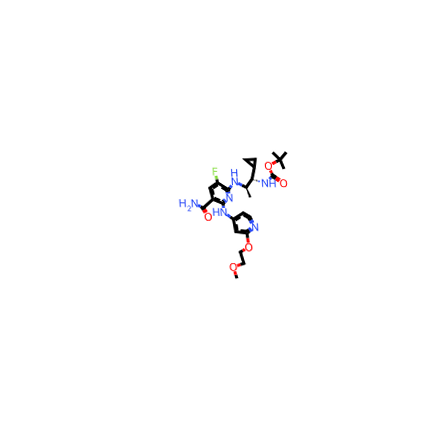 COCCOc1cc(Nc2nc(N[C@H](C)[C@@H](NC(=O)OC(C)(C)C)C3CC3)c(F)cc2C(N)=O)ccn1